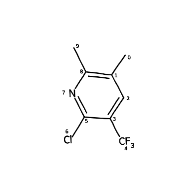 Cc1cc(C(F)(F)F)c(Cl)nc1C